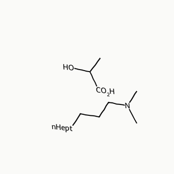 CC(O)C(=O)O.CCCCCCCCCCN(C)C